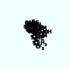 [2H]C1=C(SC([2H])([2H])c2cccc(F)c2F)N(CC(=O)N(Cc2ccc(-c3ccc(C(F)(F)F)cc3)cc2)C2([2H])C([2H])([2H])C([2H])([2H])N(C([2H])([2H])COC)C([2H])([2H])C2([2H])[2H])c2c([2H])c([2H])c(C)c([2H])c2C1O